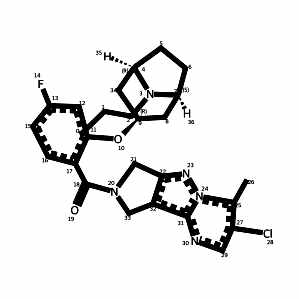 CCCN1[C@@H]2CC[C@H]1C[C@@H](Oc1cc(F)ccc1C(=O)N1Cc3nn4c(C)c(Cl)cnc4c3C1)C2